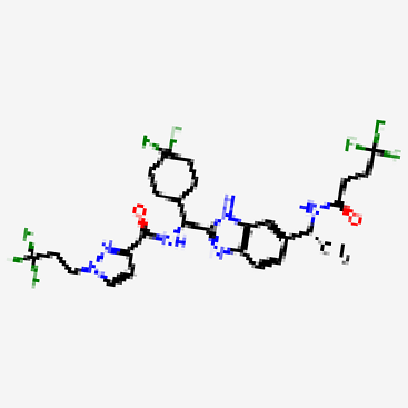 C[C@@H](NC(=O)CCC(F)(F)F)c1ccc2nc([C@@H](NC(=O)c3ccn(CCC(F)(F)F)n3)C3CCC(F)(F)CC3)[nH]c2c1